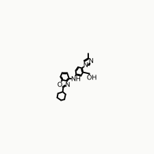 Cc1cn(-c2ccc(Nc3cccc4oc(C5CCCCC5)nc34)cc2CO)cn1